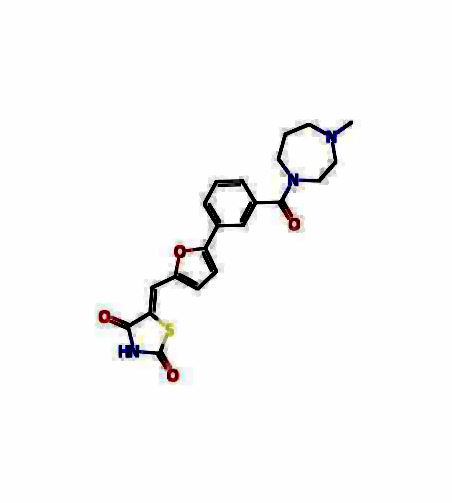 CN1CCCN(C(=O)c2cccc(-c3ccc(/C=C4\SC(=O)NC4=O)o3)c2)CC1